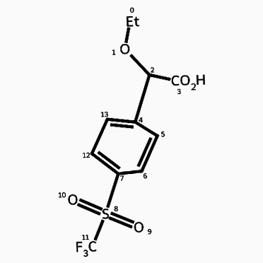 CCOC(C(=O)O)c1ccc(S(=O)(=O)C(F)(F)F)cc1